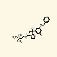 CCC(O)(c1cc(F)cc(OCc2ccccc2)c1)c1nccn1COCC[Si](C)(C)C